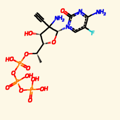 C#CC1(N)[C@@H](O)[C@@H]([C@H](C)OP(=O)(O)OP(=O)(O)OP(=O)(O)O)O[C@H]1n1cc(F)c(N)nc1=O